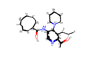 CCCc1c(C(C)=O)ncc(NC(=O)C2CCCCCCC2)c1N1CCCCC1